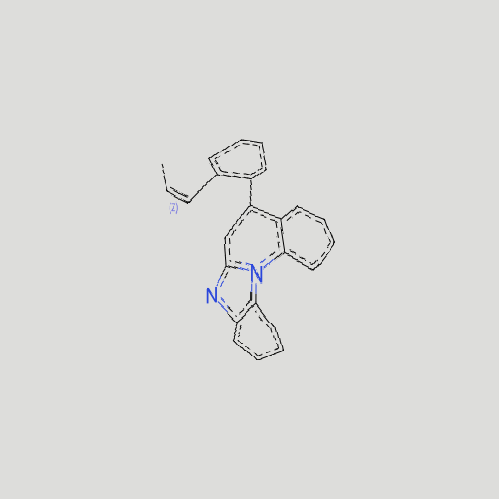 C/C=C\c1ccccc1-c1cc2nc3ccccc3n2c2ccccc12